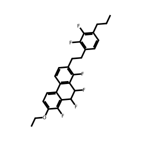 CCCc1ccc(CCc2ccc3c(c2F)C(F)C(F)c2c-3ccc(OCC)c2F)c(F)c1F